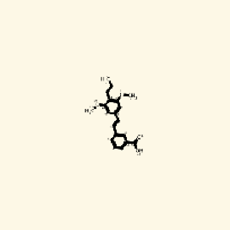 CCCc1c(OC)cc(C=Cc2cccc(C(=O)O)c2)cc1OC